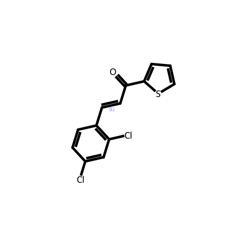 O=C(/C=C/c1ccc(Cl)cc1Cl)c1cccs1